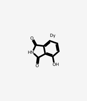 O=C1NC(=O)c2c(O)cccc21.[Dy]